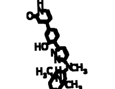 CN(c1ccc(-c2ccc(-c3cc[nH]c(=O)c3)cc2O)nn1)C1C[C@]2(C)CCC[C@](C)(C1)N2